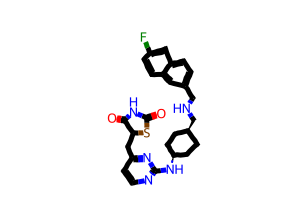 O=C1NC(=O)C(Cc2ccnc(N[C@H]3CC[C@H](CNCc4ccc5cc(F)ccc5c4)CC3)n2)S1